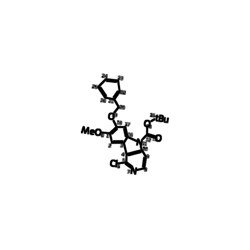 COc1cc2c3c(Cl)nccc3n(C(=O)OC(C)(C)C)c2cc1OCc1ccccc1